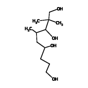 CC(CC(O)CCCO)C(O)C(C)(C)CO